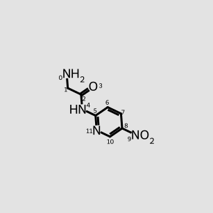 NCC(=O)Nc1ccc([N+](=O)[O-])cn1